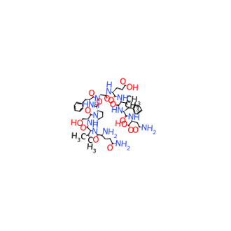 CC(C)[C@H](NC(=O)[C@H](CCC(=O)O)NC(=O)CNC(=O)[C@H](Cc1ccccc1)NC(=O)[C@@H]1CCCN1C(=O)[C@H](CO)NC(=O)[C@@H](NC(=O)[C@@H](N)CCC(N)=O)C(C)C)C(=O)N[C@@H](Cc1ccccc1)C(=O)N[C@@H](CC(N)=O)C(=O)O